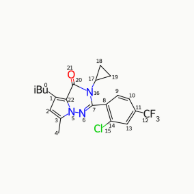 CCC(C)c1cc(C)n2nc(-c3ccc(C(F)(F)F)cc3Cl)n(C3CC3)c(=O)c12